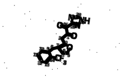 O=C(Cc1occc1Cc1ccccc1C(F)(F)F)C(=O)c1nc[nH]n1